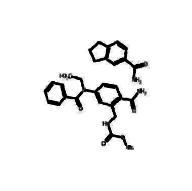 CC(C)(C)OC(=O)NCc1cc(N(CC(=O)O)C(=O)c2ccccc2)ccc1C(N)=O.NC(=O)c1ccc2c(c1)CCC2